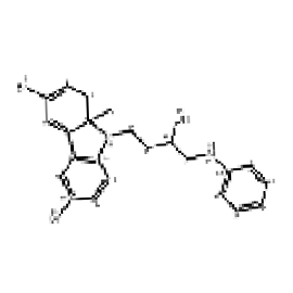 CC12CC=C(Br)C=C1c1cc(Br)ccc1N2CCC(O)CNc1ccccc1